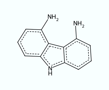 Nc1cccc2[nH]c3cccc(N)c3c12